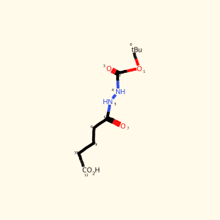 CC(C)(C)OC(=O)NNC(=O)CCCC(=O)O